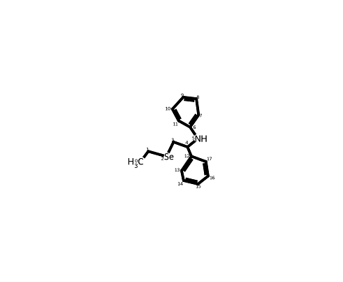 CC[Se]CC(Nc1ccccc1)c1ccccc1